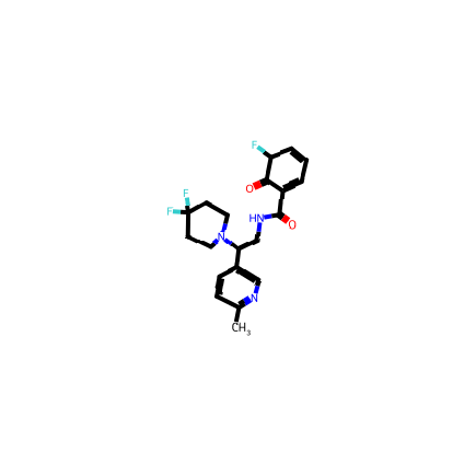 Cc1ccc(C(CNC(=O)C2=CC=CC(F)C2=O)N2CCC(F)(F)CC2)cn1